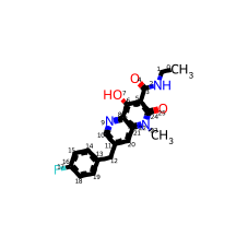 CCNC(=O)c1c(O)c2ncc(Cc3ccc(F)cc3)cc2n(C)c1=O